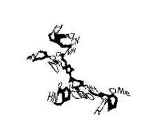 COc1cccc2[nH]c(C(=O)NC(CC3CC3C3CCC4(C3)CC(C(=O)NC(C#N)CC3CCNC3=O)N(C(=O)OC3CCN(C)CC3)C4)C(=O)NC3(C#N)Cc4cc[nH]c(=O)c4C3)cc12